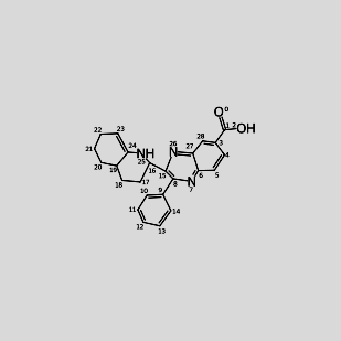 O=C(O)c1ccc2nc(-c3ccccc3)c(C3CCC4CCCC=C4N3)nc2c1